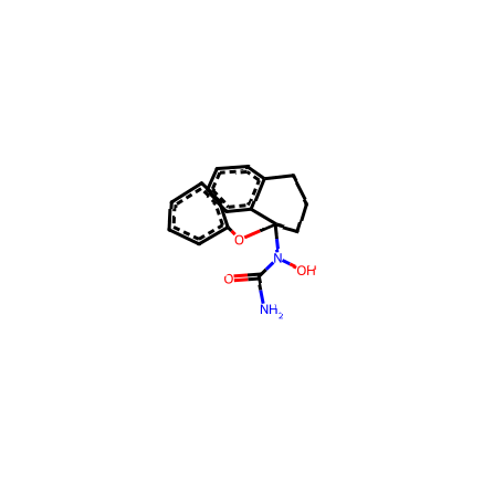 NC(=O)N(O)C1(Oc2ccccc2)CCCc2ccccc21